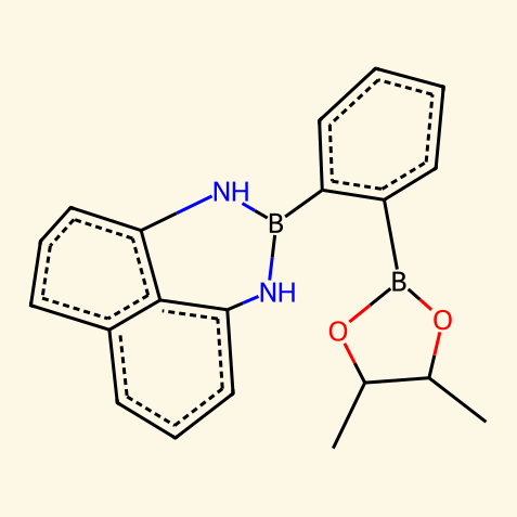 CC1OB(c2ccccc2B2Nc3cccc4cccc(c34)N2)OC1C